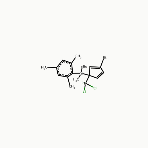 CCCC[Si](C)(c1c(C)cc(C)cc1C)[C]1([Ti]([Cl])([Cl])[Cl])C=CC(CC)=C1